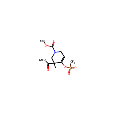 COC(=O)C1(C)CN(C(=O)OC(C)(C)C)CC=C1OS(=O)(=O)C(F)(F)F